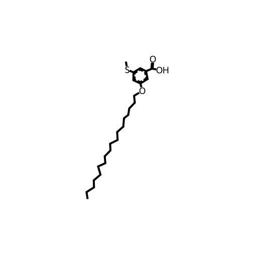 CCCCCCCCCCCCCCCCCCOc1cc(SC)cc(C(=O)O)c1